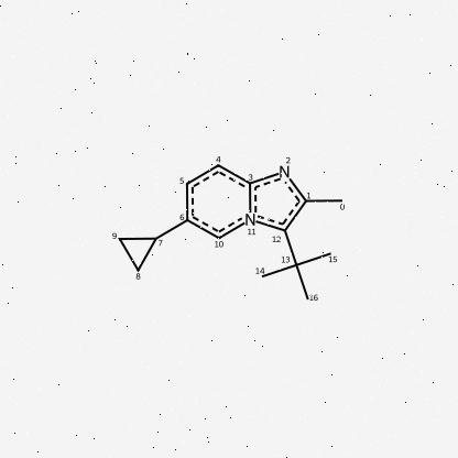 Cc1nc2ccc(C3CC3)cn2c1C(C)(C)C